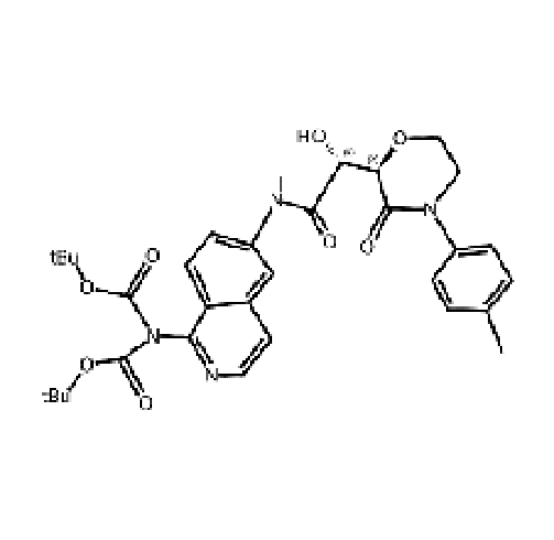 Cc1ccc(N2CCO[C@H]([C@@H](O)C(=O)Nc3ccc4c(N(C(=O)OC(C)(C)C)C(=O)OC(C)(C)C)nccc4c3)C2=O)cc1